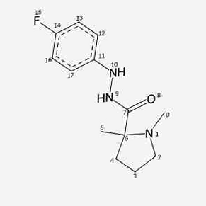 CN1CCCC1(C)C(=O)NNc1ccc(F)cc1